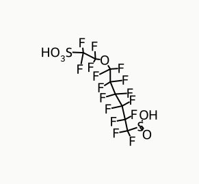 O=S(O)C(F)(F)C(F)(F)C(F)(F)C(F)(F)C(F)(F)C(F)(F)OC(F)(F)C(F)(F)S(=O)(=O)O